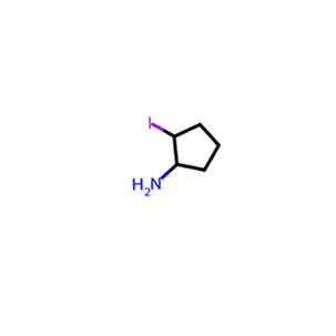 NC1CCCC1I